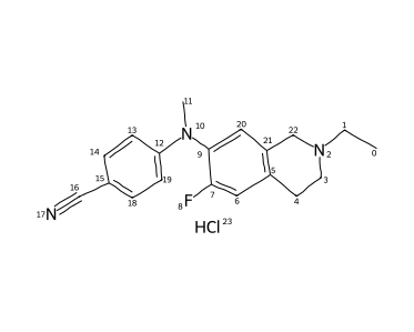 CCN1CCc2cc(F)c(N(C)c3ccc(C#N)cc3)cc2C1.Cl